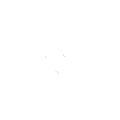 O=C(O)c1cnc(N2CCCCC2)nc1O